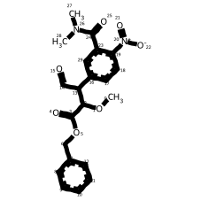 COC(C(=O)OCc1ccccc1)C(C=O)c1ccc([N+](=O)[O-])c(C(=O)N(C)C)c1